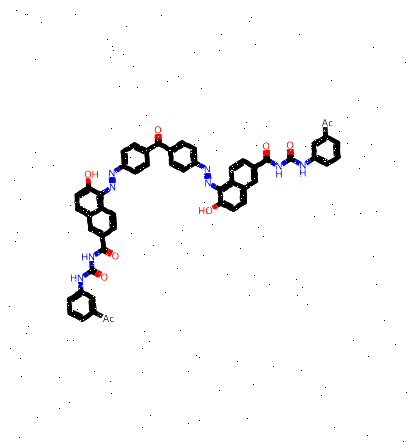 CC(=O)c1cccc(NC(=O)NC(=O)c2ccc3c(N=Nc4ccc(C(=O)c5ccc(N=Nc6c(O)ccc7cc(C(=O)NC(=O)Nc8cccc(C(C)=O)c8)ccc67)cc5)cc4)c(O)ccc3c2)c1